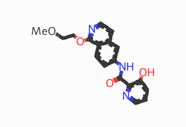 COCCOc1nccc2cc(NC(=O)c3ncccc3O)ccc12